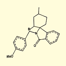 COc1ccc(CN2C(=O)c3ccccc3C23CCC(C)CC3Br)cc1